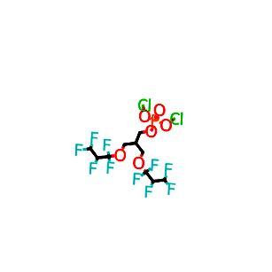 O=P(OCl)(OCl)OCC(COC(F)(F)C(F)C(F)F)COC(F)(F)C(F)C(F)F